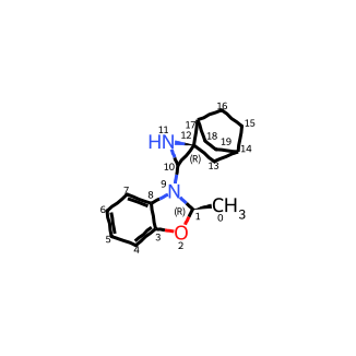 C[C@H]1Oc2ccccc2N1C1N[C@@]12CC1CCC2CC1